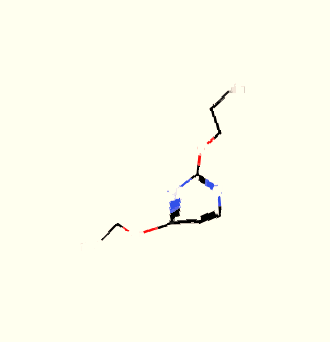 CC(C)CCOc1nccc(OCC(F)(F)F)n1